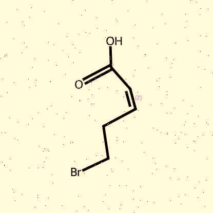 O=C(O)/C=C\CCBr